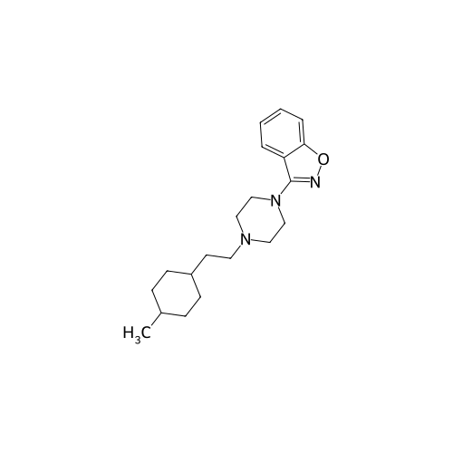 CC1CCC(CCN2CCN(c3noc4ccccc34)CC2)CC1